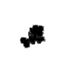 CC(C)(C)OC(=O)CC[C@H](NC(=O)[C@H](CSC(c1ccccc1)(c1ccccc1)c1ccccc1)NC(=O)CN)C(=O)C(=O)OCC1c2ccccc2-c2ccccc21